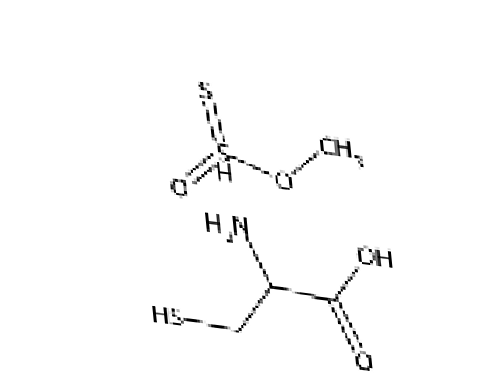 CO[SH](=O)=S.NC(CS)C(=O)O